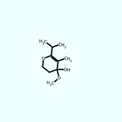 COC1(O)CCOC(C(C)C)=C1C